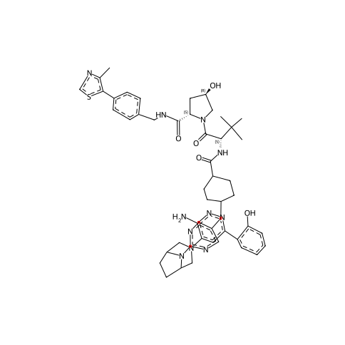 Cc1ncsc1-c1ccc(CNC(=O)[C@@H]2C[C@@H](O)CN2C(=O)[C@@H](NC(=O)C2CCC(Cc3cnc(N4C5CCC4CN(c4cc(-c6ccccc6O)nnc4N)C5)nc3)CC2)C(C)(C)C)cc1